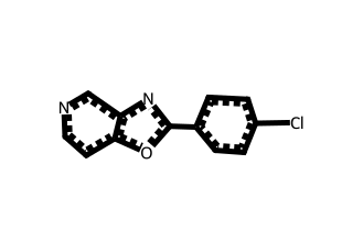 Clc1ccc(-c2nc3cnccc3o2)cc1